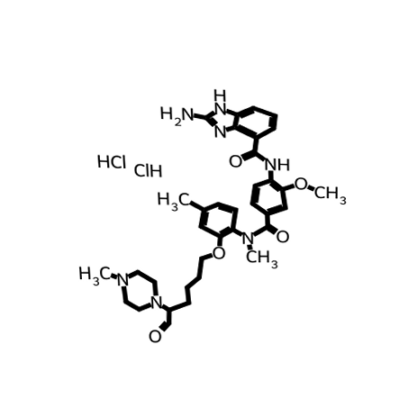 COc1cc(C(=O)N(C)c2ccc(C)cc2OCCCCC(C=O)N2CCN(C)CC2)ccc1NC(=O)c1cccc2[nH]c(N)nc12.Cl.Cl